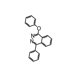 c1ccc(Oc2nnc(-c3ccccc3)c3ccccc23)cc1